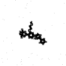 COCCOc1cc(-c2cnc(C3CCCC3)[nH]2)ccc1B1OC(C)(C)C(C)(C)O1